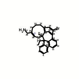 CCC1(c2ccccc2)c2ccccc2-c2cc3c(cc2Br)CCC/C(CN)=C\NC31C